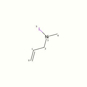 C=C[CH2][Ni]([CH3])[I]